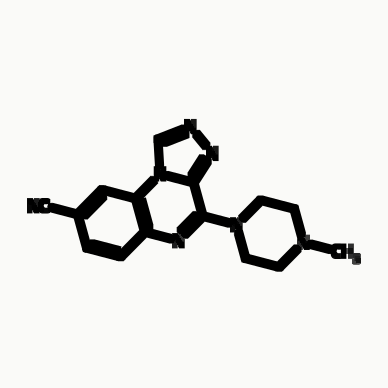 CN1CCN(c2nc3ccc(C#N)cc3n3cnnc23)CC1